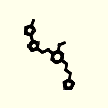 COc1cc(CCCn2ccnc2)ccc1OCc1coc(-c2ccc(C)s2)n1